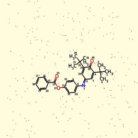 CC(C)(C)C1=CC(=Nc2ccc(OC(=O)c3ccccc3)cc2)C=C(C(C)(C)C)C1=O